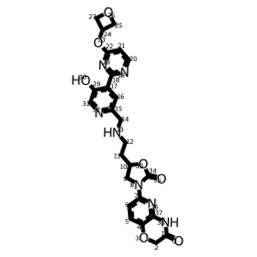 O=C1COc2ccc(N3CC(CCNCc4cc(-c5nccc(OC6COC6)n5)c(O)cn4)OC3=O)nc2N1